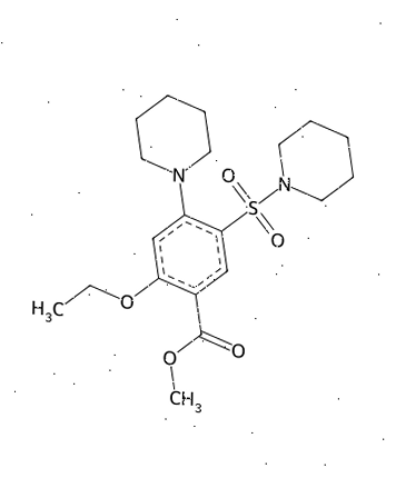 CCOc1cc(N2CCCCC2)c(S(=O)(=O)N2CCCCC2)cc1C(=O)OC